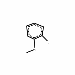 C[I]c1ccccc1F